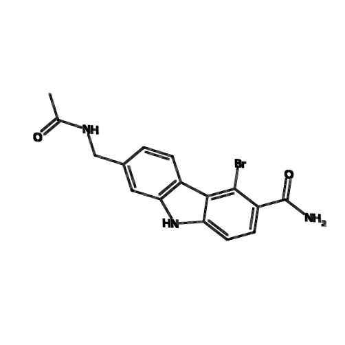 CC(=O)NCc1ccc2c(c1)[nH]c1ccc(C(N)=O)c(Br)c12